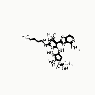 CCCCCNc1nc(C)c(-c2nc3c(C)nccc3s2)c(NC2C[C@H](C(C)(C)O)[C@@H](O)[C@H]2O)n1